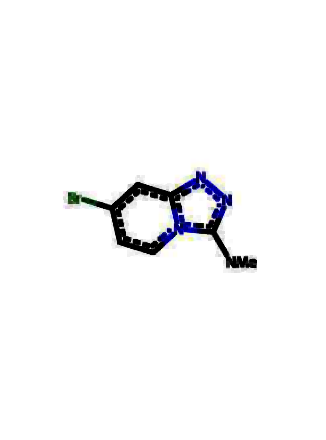 CNc1nnc2cc(Br)ccn12